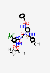 Cc1ccc(C(=S)NC2CCC(NC(=O)OCc3ccccc3)CC2NC(=O)CNC(=O)c2cc(C(F)(F)F)ccc2NC(=O)OC(C)(C)C)cc1